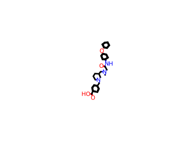 CN(CC(=O)Nc1ccc(Oc2ccccc2)cc1)CC1CCCN(Cc2ccc(C(=O)O)cc2)C1